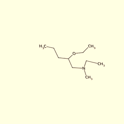 CCCC(CN(C)CC)OCC